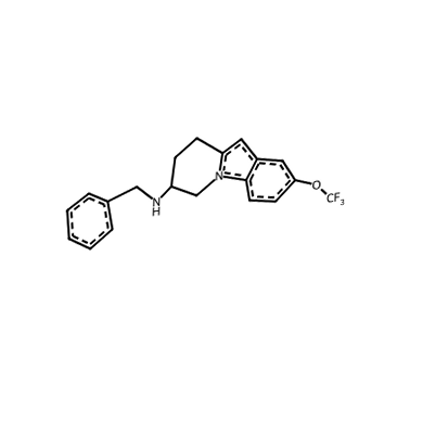 FC(F)(F)Oc1ccc2c(c1)cc1n2CC(NCc2ccccc2)CC1